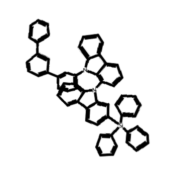 c1ccc(-c2cccc(-c3cccc(-n4c5ccccc5c5cccc(-n6c7ccccc7c7ccc([Si](c8ccccc8)(c8ccccc8)c8ccccc8)cc76)c54)c3)c2)cc1